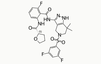 CC1(C)CN(S(=O)(=O)c2cc(F)cc(F)c2)Cc2c(NC(=O)c3c(F)cccc3NC(=O)[C@@H]3CCCO3)n[nH]c21